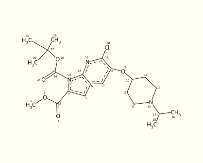 COC(=O)c1cc2cc(OC3CCN(C(C)C)CC3)c(Cl)nc2n1C(=O)OC(C)(C)C